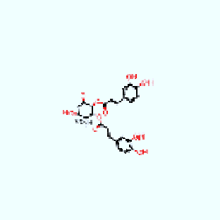 O=C(/C=C/c1ccc(O)c(O)c1)OC1[C@H](O)C[C@@](O)(C(=O)O)C[C@H]1OC(=O)/C=C/c1ccc(O)c(O)c1